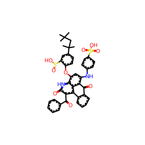 CC(C)(C)CC(C)(C)c1ccc(Oc2cc(Nc3ccc(S(=O)(=O)O)cc3)c3c4c(c(C(=O)c5ccccc5)c(=O)[nH]c24)-c2ccccc2C3=O)c(S(=O)O)c1